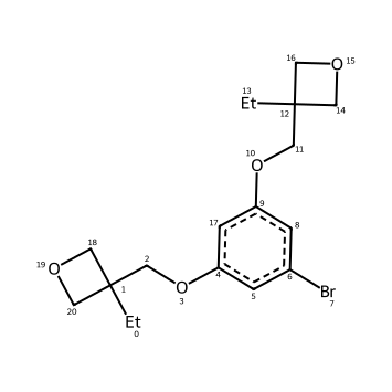 CCC1(COc2cc(Br)cc(OCC3(CC)COC3)c2)COC1